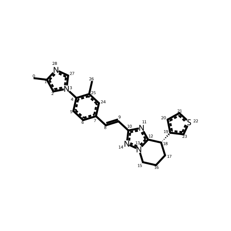 Cc1cn(-c2ccc(/C=C/c3nc4n(n3)CCC[C@H]4c3ccsc3)cc2C)cn1